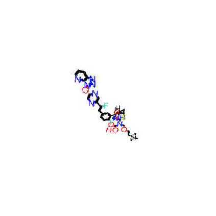 CNC(=O)[C@]12C[C@H]1[C@@](C)(c1cc(/C=C(\F)c3cnc(On4nnc5cccnc54)cn3)ccc1F)N=C(N(COCC[Si](C)(C)C)C(=O)O)S2